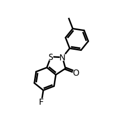 Cc1cccc(-n2sc3ccc(F)cc3c2=O)c1